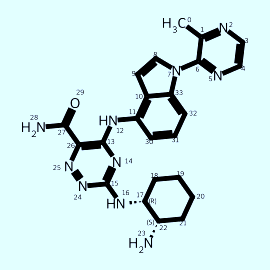 Cc1nccnc1-n1ccc2c(Nc3nc(N[C@@H]4CCCC[C@@H]4N)nnc3C(N)=O)cccc21